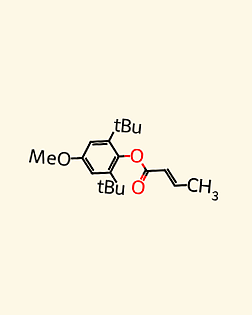 C/C=C/C(=O)Oc1c(C(C)(C)C)cc(OC)cc1C(C)(C)C